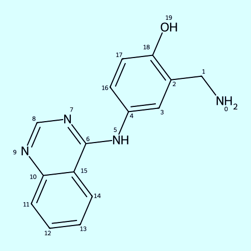 NCc1cc(Nc2ncnc3ccccc23)ccc1O